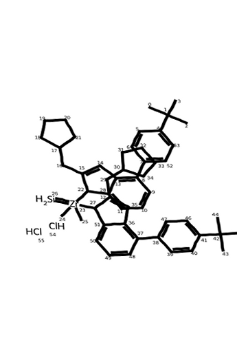 CC(C)(C)c1ccc(-c2cccc3c2C=C(CC2CCCC2)[CH]3[Zr]([CH3])([CH3])(=[SiH2])[CH]2C(CC3CCCC3)=Cc3c(-c4ccc(C(C)(C)C)cc4)cccc32)cc1.Cl.Cl